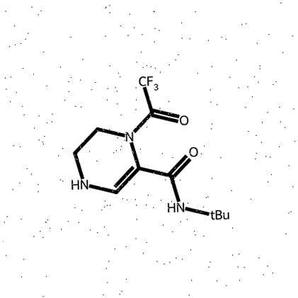 CC(C)(C)NC(=O)C1=CNCCN1C(=O)C(F)(F)F